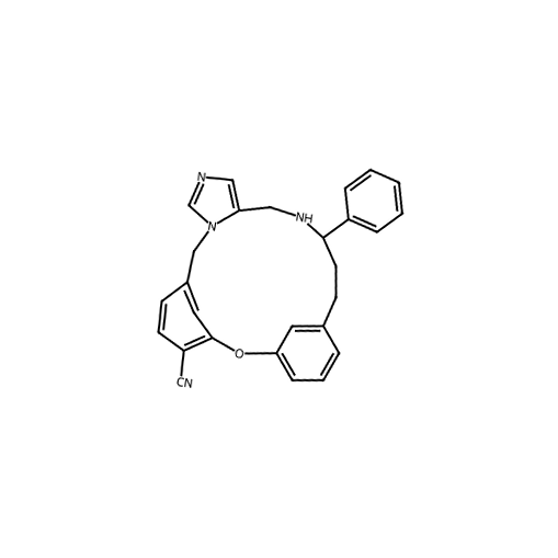 N#Cc1ccc2cc1Oc1cccc(c1)CCC(c1ccccc1)NCc1cncn1C2